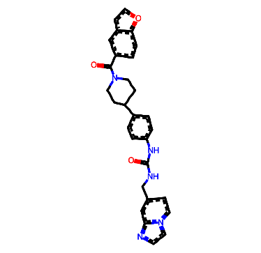 O=C(NCc1ccn2ccnc2c1)Nc1ccc(C2CCN(C(=O)c3ccc4occc4c3)CC2)cc1